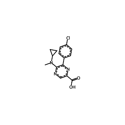 CN(c1ncc(C(=O)O)nc1-c1ccc(Cl)cc1)C1CC1